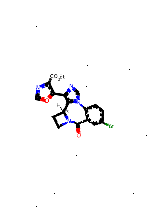 CCOC(=O)c1ncoc1-c1ncn2c1[C@@H]1CCN1C(=O)c1cc(Br)ccc1-2